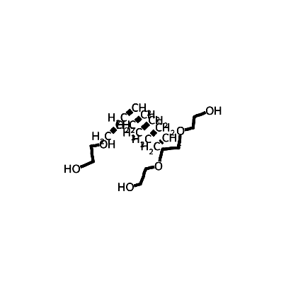 C=C.C=C.C=C.C=C.C=C.C=C.OCCO.OCCOCCOCCO